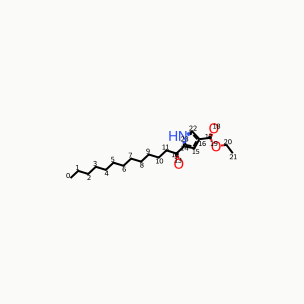 CCCCCCCCCCCCC(=O)c1cc(C(=O)OCC)c[nH]1